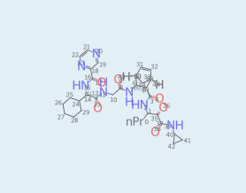 CCCC(NC(=O)[C@H]1[C@@H](NC(=O)CNC(=O)[C@@H](NC(=O)c2cnccn2)C2CCCCC2)[C@@H]2C=C[C@H]1C2)C(=O)C(=O)NC1CC1